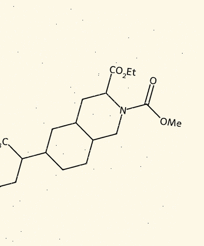 CCOC(=O)C1CC2CC(C(C)CC#N)CCC2CN1C(=O)OC